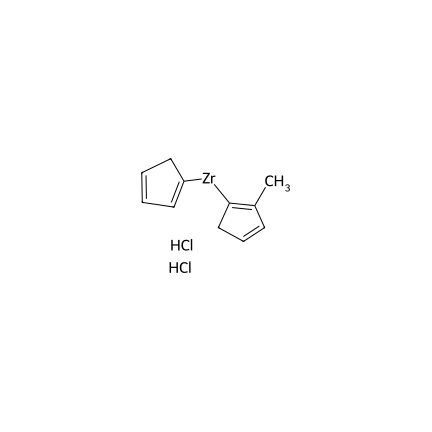 CC1=[C]([Zr][C]2=CC=CC2)CC=C1.Cl.Cl